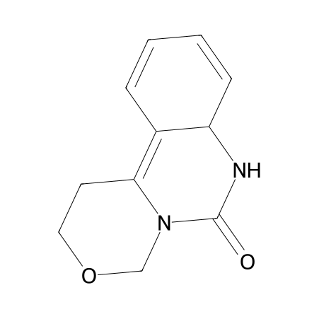 O=C1NC2C=CC=CC2=C2CCOCN12